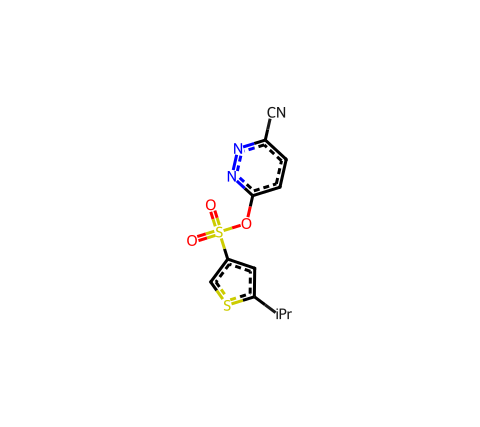 CC(C)c1cc(S(=O)(=O)Oc2ccc(C#N)nn2)cs1